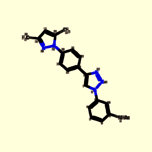 CC(=O)Nc1cccc(-n2cc(-c3ccc(-n4nc(C(F)(F)F)cc4C(F)(F)F)cc3)nn2)c1